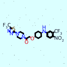 O=C(CO[C@H]1CC[C@H](Nc2ccc([N+](=O)[O-])c(C(F)(F)F)c2)CC1)N1CCN(c2nnc(C(F)(F)F)s2)CC1